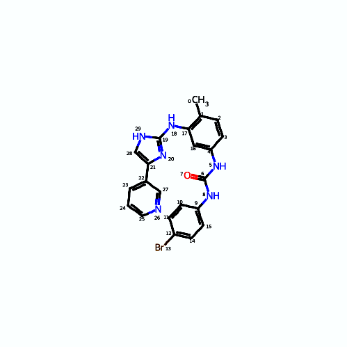 Cc1ccc(NC(=O)Nc2ccc(Br)cc2)cc1Nc1nc(-c2cccnc2)c[nH]1